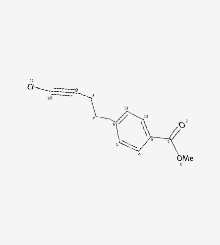 COC(=O)c1ccc(CCC#CCl)cc1